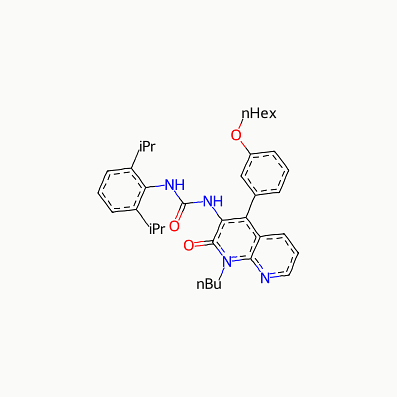 CCCCCCOc1cccc(-c2c(NC(=O)Nc3c(C(C)C)cccc3C(C)C)c(=O)n(CCCC)c3ncccc23)c1